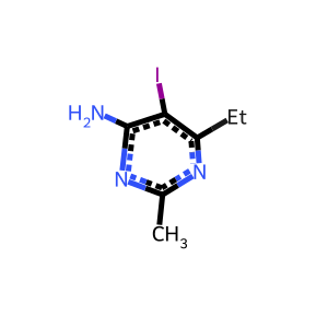 CCc1nc(C)nc(N)c1I